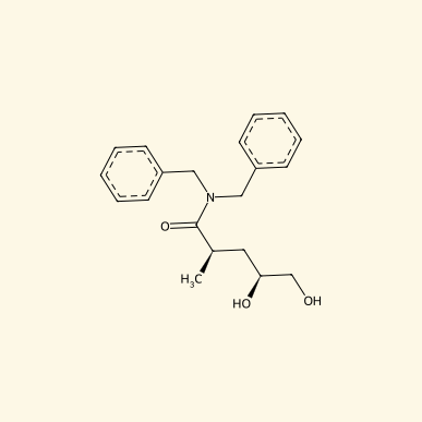 C[C@H](C[C@H](O)CO)C(=O)N(Cc1ccccc1)Cc1ccccc1